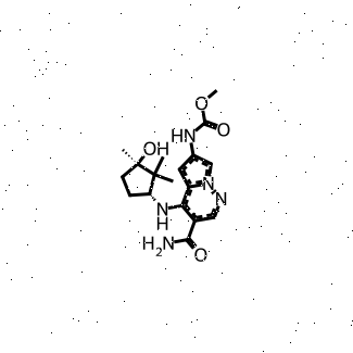 COC(=O)Nc1cc2c(N[C@@H]3CC[C@@](C)(O)C3(C)C)c(C(N)=O)cnn2c1